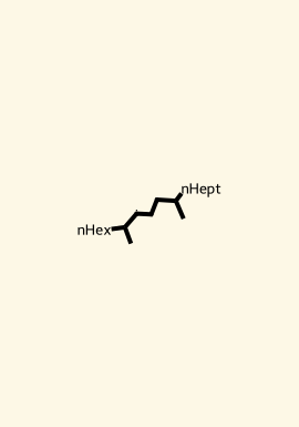 [CH2]CCCCCC(C)[CH]CCC(C)CCCCCCC